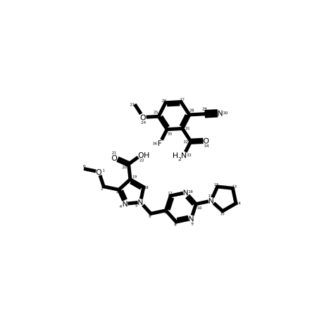 COCc1nn(Cc2cnc(N3CCCC3)nc2)cc1C(=O)O.COc1ccc(C#N)c(C(N)=O)c1F